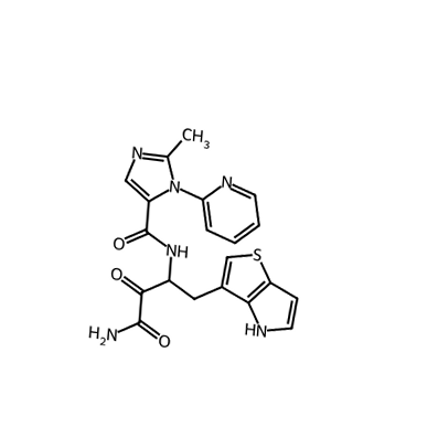 Cc1ncc(C(=O)NC(Cc2csc3cc[nH]c23)C(=O)C(N)=O)n1-c1ccccn1